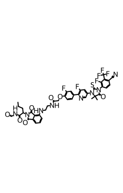 CCCC(C(=O)NC=O)N1C(=O)c2cccc(NCCNC(=O)COc3ccc(-c4ncc(N5C(=S)N(c6ccc(C#N)c(C(F)(F)F)c6F)C(=O)C5(C)C)cc4F)cc3F)c2C1=O